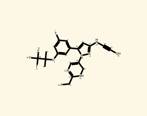 CC(C)(Oc1cc(F)cc(-c2cc(NC#CO)nn2C2=CN=C(CF)NC2)c1)C(F)(F)F